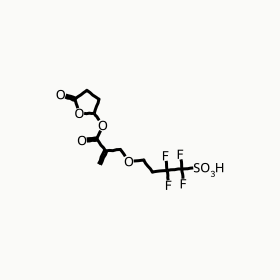 C=C(COCCC(F)(F)C(F)(F)S(=O)(=O)O)C(=O)OC1CCC(=O)O1